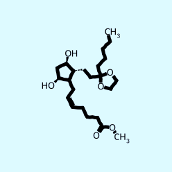 CCCCCC1(CC[C@@H]2C(C/C=C\CCCC(=O)OC)[C@@H](O)C[C@H]2O)OCCO1